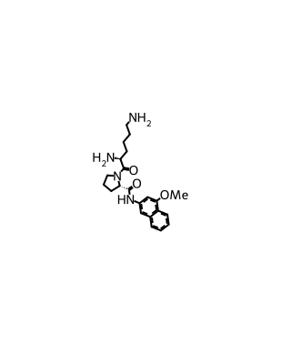 COc1cc(NC(=O)[C@@H]2CCCN2C(=O)[C@@H](N)CCCCN)cc2ccccc12